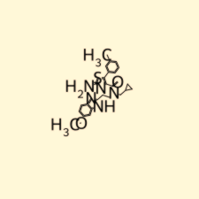 COc1ccc2nc(CCN(CC3CC3)C(=O)c3nc(N)sc3-c3cccc(C)c3)[nH]c2c1